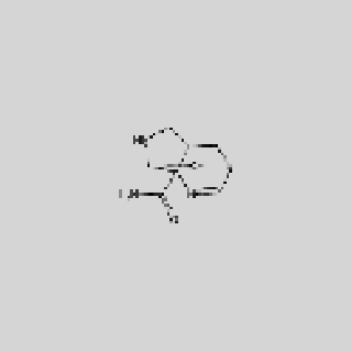 NC(=O)C12N=CC3CC1CNC2C3